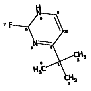 CC(C)(C)C1=NC(F)NC=C1